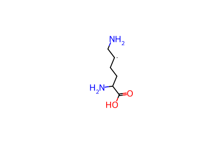 NC[CH]CCC(N)C(=O)O